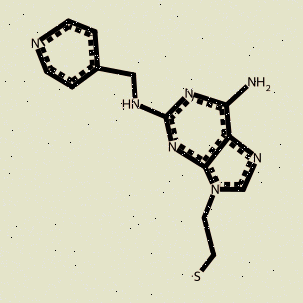 Nc1nc(NCc2ccncc2)nc2c1ncn2CC[S]